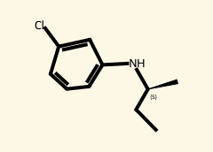 CC[C@H](C)Nc1cccc(Cl)c1